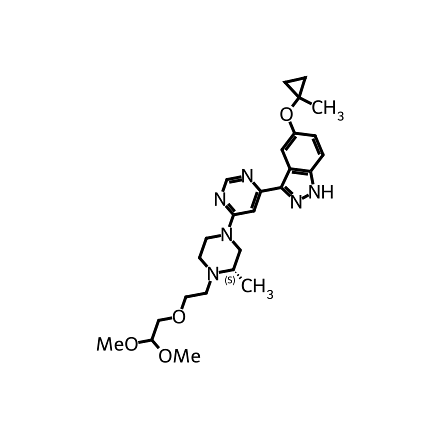 COC(COCCN1CCN(c2cc(-c3n[nH]c4ccc(OC5(C)CC5)cc34)ncn2)C[C@@H]1C)OC